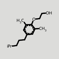 Cc1cc(CCCC(C)C)cc(C)c1OCCO